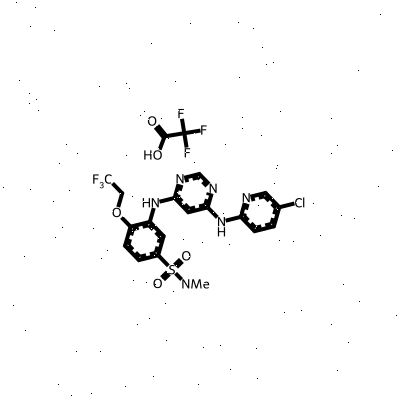 CNS(=O)(=O)c1ccc(OCC(F)(F)F)c(Nc2cc(Nc3ccc(Cl)cn3)ncn2)c1.O=C(O)C(F)(F)F